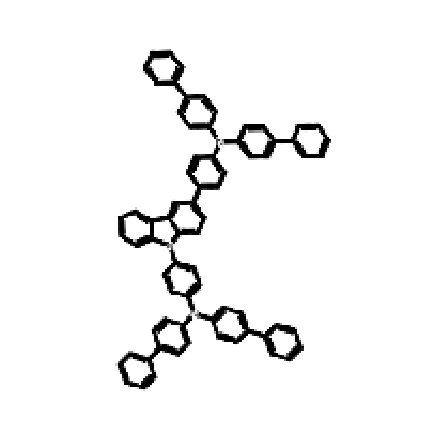 c1ccc(-c2ccc(N(c3ccc(-c4ccccc4)cc3)c3ccc(-c4ccc5c(c4)c4ccccc4n5-c4ccc(N(c5ccc(-c6ccccc6)cc5)c5ccc(-c6ccccc6)cc5)cc4)cc3)cc2)cc1